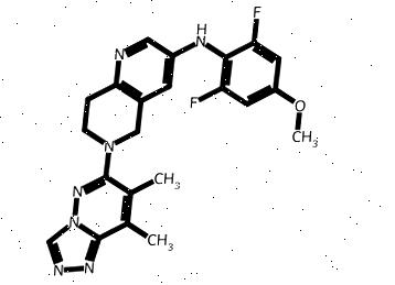 COc1cc(F)c(Nc2cnc3c(c2)CN(c2nn4cnnc4c(C)c2C)CC3)c(F)c1